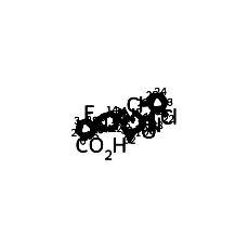 O=C(O)c1ccc(F)c(N2C3CCC2CC2(C3)CN(Cc3c(-c4c(Cl)cccc4Cl)noc3C3CC3)C2)c1